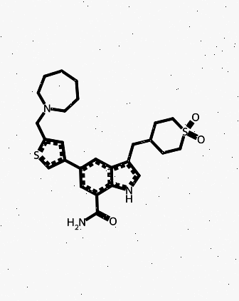 NC(=O)c1cc(-c2csc(CN3CCCCCC3)c2)cc2c(CC3CCS(=O)(=O)CC3)c[nH]c12